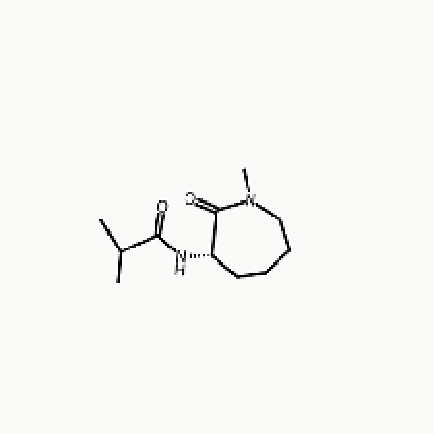 CC(C)C(=O)N[C@H]1CCCCN(C)C1=O